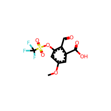 COc1cc(OS(=O)(=O)C(F)(F)F)c(C=O)c(C(=O)O)c1